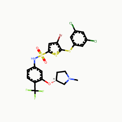 CN1CC[C@@H](Oc2cc(NS(=O)(=O)c3cc(Br)c(Sc4cc(Cl)cc(Cl)c4)s3)ccc2C(F)(F)F)C1